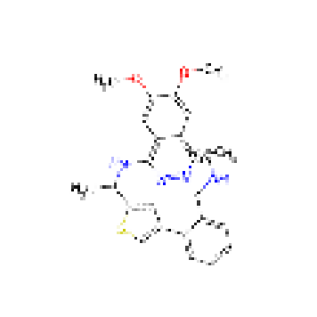 CNCc1ccccc1-c1csc(C(C)Nc2nnc(C)c3cc(OC)c(OC)cc23)c1